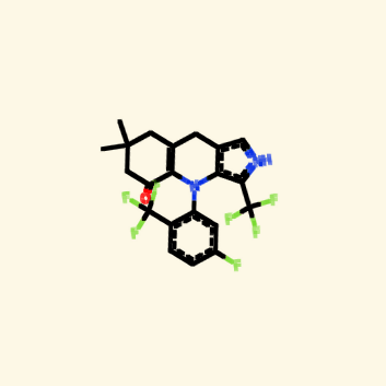 CC1(C)CC(=O)C2=C(Cc3c[nH]c(C(F)(F)F)c3N2c2cc(F)ccc2C(F)(F)F)C1